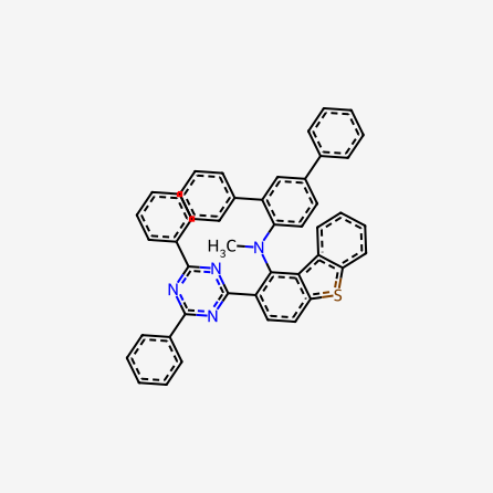 CN(c1ccc(-c2ccccc2)cc1-c1ccccc1)c1c(-c2nc(-c3ccccc3)nc(-c3ccccc3)n2)ccc2sc3ccccc3c12